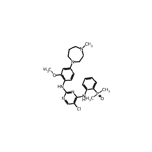 COc1cc(N2CCCN(C)CC2)ccc1Nc1ncc(Cl)c(Nc2ccccc2P(C)(C)=O)n1